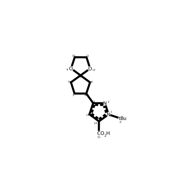 CC(C)(C)n1nc(C2CCC3(C2)OCCO3)cc1C(=O)O